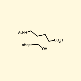 CC(=O)NCCCCC(=O)O.CCCCCCCCO